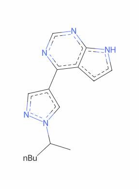 CCCCC(C)n1cc(-c2ncnc3[nH]ccc23)cn1